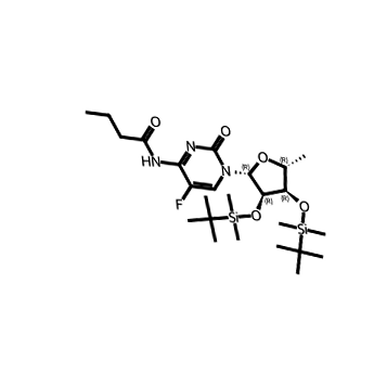 CCCC(=O)Nc1nc(=O)n([C@@H]2O[C@H](C)[C@@H](O[Si](C)(C)C(C)(C)C)[C@H]2O[Si](C)(C)C(C)(C)C)cc1F